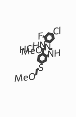 COCCSc1ccc2c(c1)NC=NC2(Nc1ccc(Cl)cc1F)OC.Cl